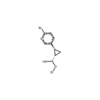 CCOC(O)[C@H]1C[C@@H]1c1ccc(Br)nc1